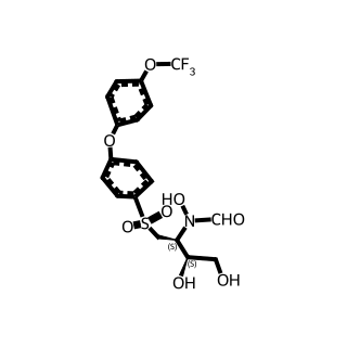 O=CN(O)[C@H](CS(=O)(=O)c1ccc(Oc2ccc(OC(F)(F)F)cc2)cc1)[C@H](O)CO